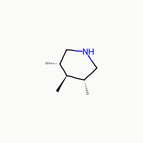 C[C@H]1[C@H](C)CNC[C@@H]1C